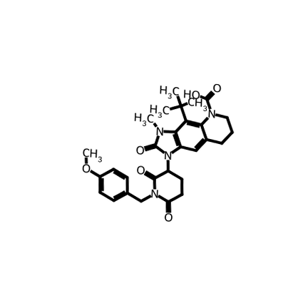 COc1ccc(CN2C(=O)CCC(n3c(=O)n(C)c4c(C(C)(C)C)c5c(cc43)CCCN5C(=O)O)C2=O)cc1